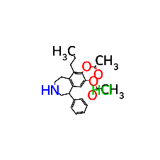 CCCc1c2c(cc(OC(C)=O)c1OC(C)=O)C(c1ccccc1)CNCC2.Cl